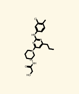 CCCc1cc(N2CCC[C@@H](NC(=O)CO)C2)nc(Nc2ccc(C)c(Cl)c2)n1